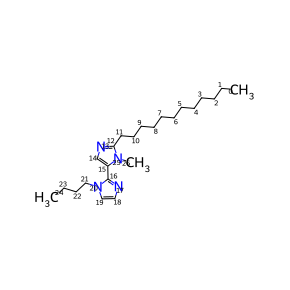 CCCCCCCCCCCCc1ncc(-c2nccn2CCCC)n1C